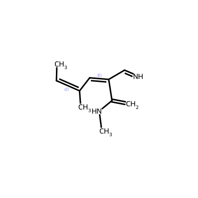 C=C(NC)/C(C=N)=C\C(C)=C/C